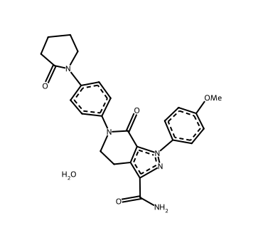 COc1ccc(-n2nc(C(N)=O)c3c2C(=O)N(c2ccc(N4CCCCC4=O)cc2)CC3)cc1.O